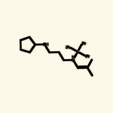 CC(C)=C[SiH](CCCNC1CCCC1)[Si](C(C)C)(C(C)C)C(C)C